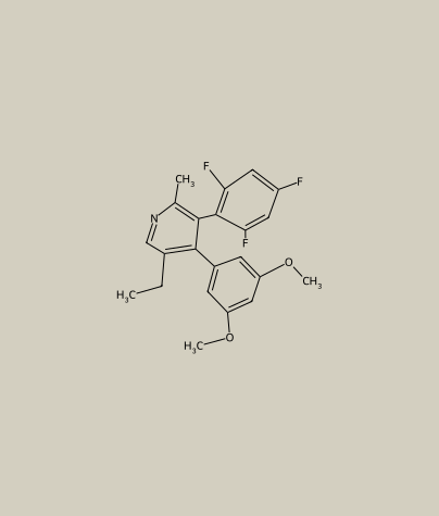 CCc1cnc(C)c(-c2c(F)cc(F)cc2F)c1-c1cc(OC)cc(OC)c1